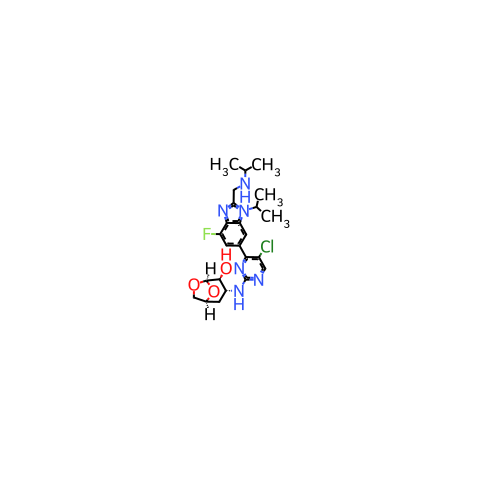 CC(C)NCc1nc2c(F)cc(-c3nc(N[C@@H]4C[C@H]5CO[C@H](O5)[C@H]4O)ncc3Cl)cc2n1C(C)C